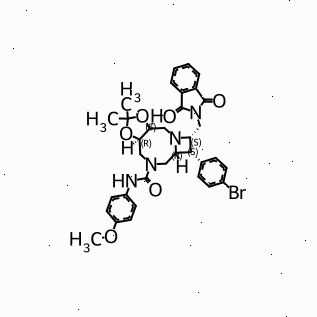 COc1ccc(NC(=O)N2C[C@H]3OC(C)(C)O[C@H]3CN3[C@H](CN4C(=O)c5ccccc5C4=O)[C@H](c4ccc(Br)cc4)[C@@H]3C2)cc1